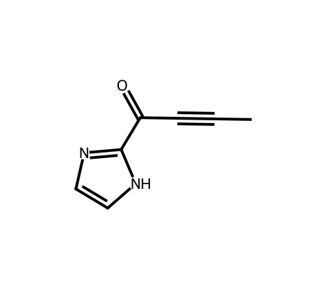 CC#CC(=O)c1ncc[nH]1